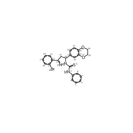 S=C(Nc1ccccc1)N1N=C(c2ccccc2Br)CC1c1ccc2c(c1)OCCO2